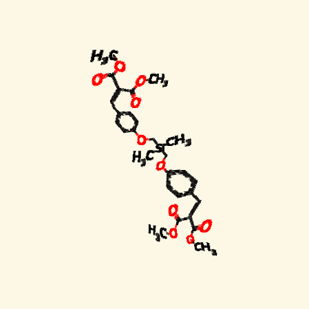 COC(=O)C(=Cc1ccc(OC[Si](C)(C)COc2ccc(C=C(C(=O)OC)C(=O)OC)cc2)cc1)C(=O)OC